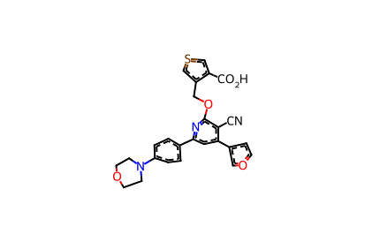 N#Cc1c(-c2ccoc2)cc(-c2ccc(N3CCOCC3)cc2)nc1OCc1cscc1C(=O)O